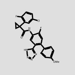 COc1ccc(-c2cc(F)c(NC(=O)C3(c4cc(Cl)ccc4F)CC3)cc2-c2nnn[nH]2)cc1